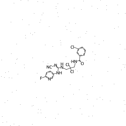 N#CN=C(NCC(Cl)(Cl)CNC(=O)c1cccc(Cl)c1)Nc1ccc(F)nc1